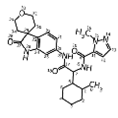 CC1CCCCC1C(NC(=O)c1ccnn1C)C(=O)Nc1ccc2c(c1)NC(=O)C21CCOCC1